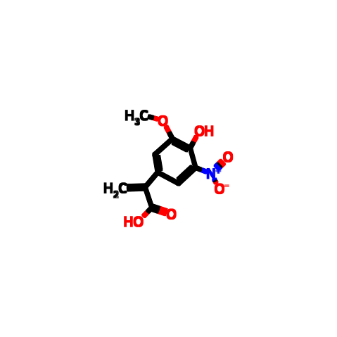 C=C(C(=O)O)c1cc(OC)c(O)c([N+](=O)[O-])c1